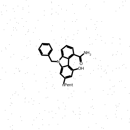 CCCCCc1cc(O)c2c3c(C(N)=O)cccc3n(Cc3ccccc3)c2c1